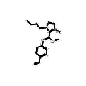 C=Cc1ccc(/N=C(\OC)c2n(CCCC)cc[n+]2C)cc1